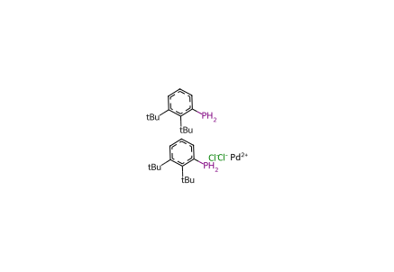 CC(C)(C)c1cccc(P)c1C(C)(C)C.CC(C)(C)c1cccc(P)c1C(C)(C)C.[Cl-].[Cl-].[Pd+2]